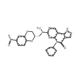 CN(C[C@H]1COc2cc([N+](=O)[O-])ccc2O1)c1ncc2c3[nH]ncc3c(=O)n(-c3ccccc3)c2n1